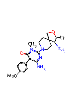 COc1ccc(-c2c(N)nc(N3CCC4(CC3)CO[C@@H](C)[C@H]4N)n(C)c2=O)cc1